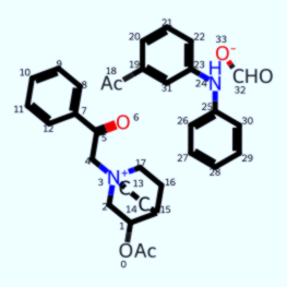 CC(=O)OC1C[N+]2(CC(=O)c3ccccc3)CCC1CC2.CC(=O)c1cccc(Nc2ccccc2)c1.O=C[O-]